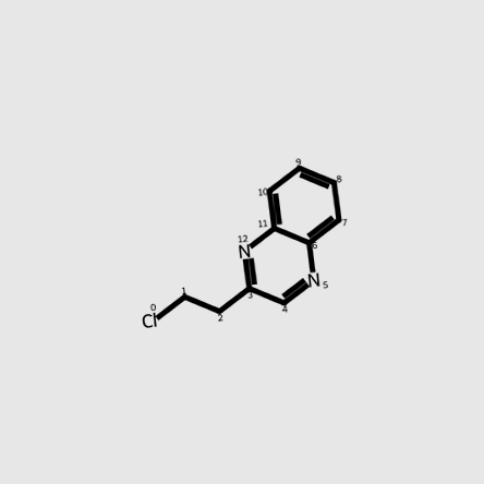 ClCCc1cnc2ccccc2n1